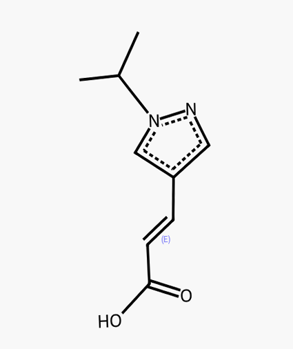 CC(C)n1cc(/C=C/C(=O)O)cn1